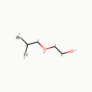 CCC(C)C(CC)COCC[O]